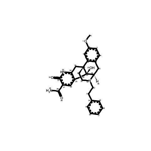 COc1ccc2c(c1)[C@]13CCN(CCc4ccccc4)[C@H](C2)[C@]1(O)Cc1cc(C(N)=O)c(=O)[nH]c1C3